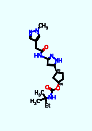 CCC(C)(C)NC(=O)O[C@@H]1CC[C@H](c2cc(NC(=O)Cc3cnn(C)c3)n[nH]2)C1